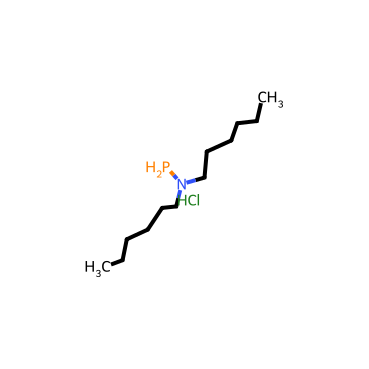 CCCCCCN(P)CCCCCC.Cl